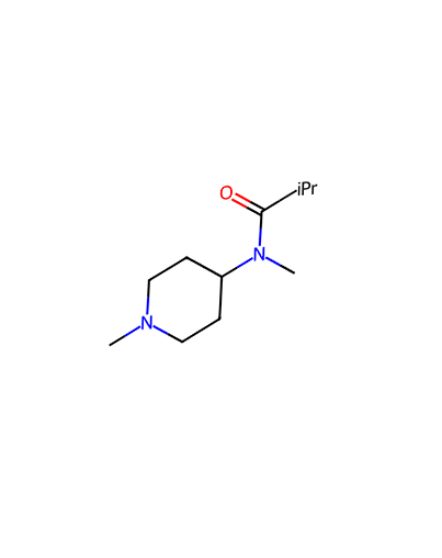 CC(C)C(=O)N(C)C1CCN(C)CC1